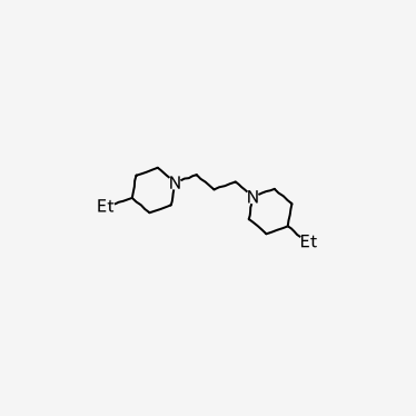 CCC1CCN(CCCN2CCC(CC)CC2)CC1